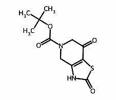 CC(C)(C)OC(=O)N1CC(=O)c2sc(=O)[nH]c2C1